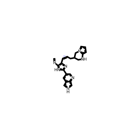 C=Nc1[nH]c(-c2cnc3c[nH]cc3c2)nc1/C=C\CC1CNc2cccn2C1